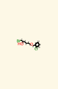 OC(CBr)CCCCOCc1ccccc1Cl